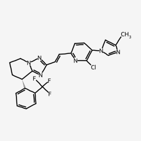 Cc1cn(-c2ccc(/C=C/c3nc4n(n3)CCC[C@H]4c3ccccc3C(F)(F)F)nc2Cl)cn1